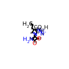 C=CCC1CN(c2c(N)c(=O)c2=O)CC1(N=[N+]=[N-])C(=O)O